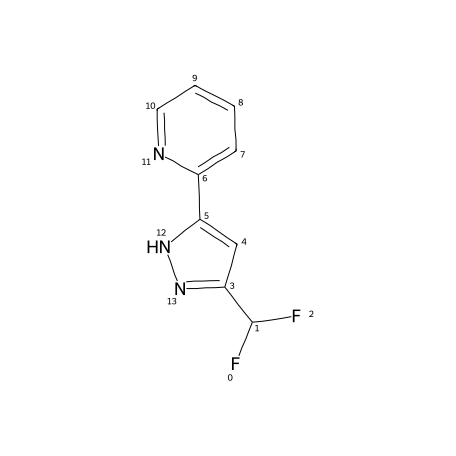 FC(F)c1cc(-c2ccccn2)[nH]n1